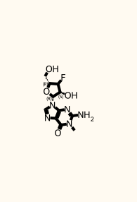 Cn1c(N)nc2c(ncn2[C@@H]2O[C@H](CO)C(F)[C@H]2O)c1=O